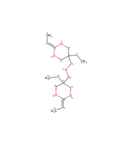 CC=C1OCC(CC)(COCC2(CC)COC(=CC)OC2)CO1